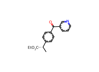 CCOC(=O)[C@@H](C)c1ccc(C(=O)c2cccnc2)cc1